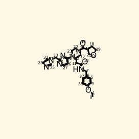 CCOc1ccc(CNC(=O)CC2CN(C(=O)C3CCOC3)CCN2c2ccnc(Cn3ccnc3)n2)cc1